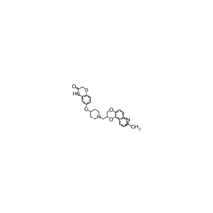 Cc1ccc2c3c(ccc2n1)OCC(CN1CCC(Oc2ccc4c(c2)NC(=O)CO4)CC1)O3